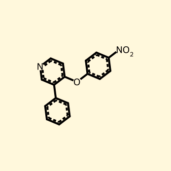 O=[N+]([O-])c1ccc(Oc2ccncc2-c2ccccc2)cc1